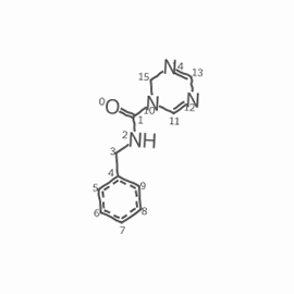 O=C(NCc1ccccc1)N1C=NC=NC1